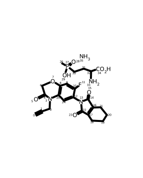 C#CCN1C(=O)COc2cc(F)c(N3C(=O)C4=C(CCCC4)C3=O)cc21.CP(=O)(O)CCC(N)C(=O)O.N